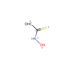 O=CC(=S)NO